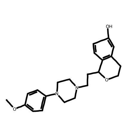 COc1ccc(N2CCN(CCC3OCCc4cc(O)ccc43)CC2)cc1